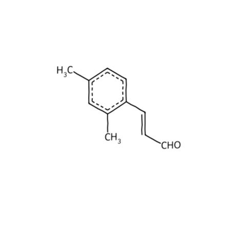 Cc1ccc(C=CC=O)c(C)c1